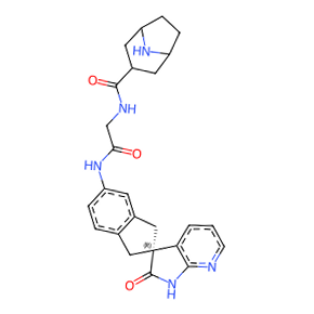 O=C(CNC(=O)C1CC2CCC(C1)N2)Nc1ccc2c(c1)C[C@@]1(C2)C(=O)Nc2ncccc21